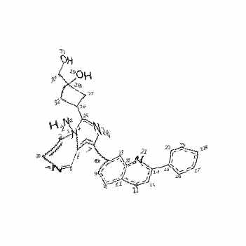 N[N+]12C=CN=CC1=C(c1ccc3ccc(-c4ccccc4)nc3c1)N=C2C1CC(O)(CO)C1